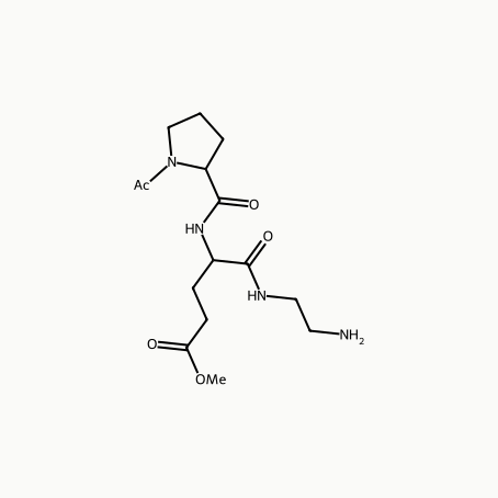 COC(=O)CCC(NC(=O)C1CCCN1C(C)=O)C(=O)NCCN